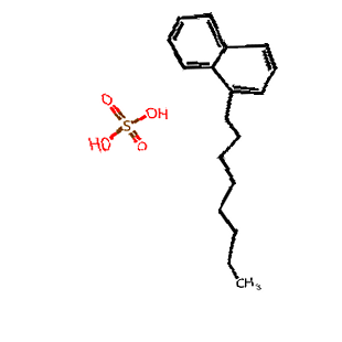 CCCCCCCCc1cccc2ccccc12.O=S(=O)(O)O